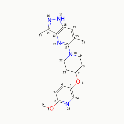 COc1ccc(OC2CCN(c3nc4c(C)n[nH]c4cc3C)CC2)cn1